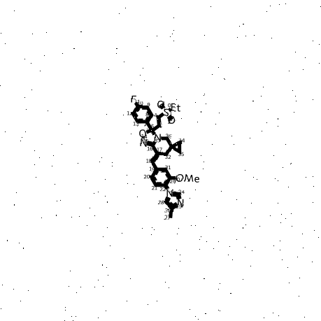 CCS(=O)(=O)CCC1(c2ccc(F)cc2)ON=C2/C(=C/c3ccc(-n4cnc(C)c4)c(OC)c3)CC3(CC3)CN21